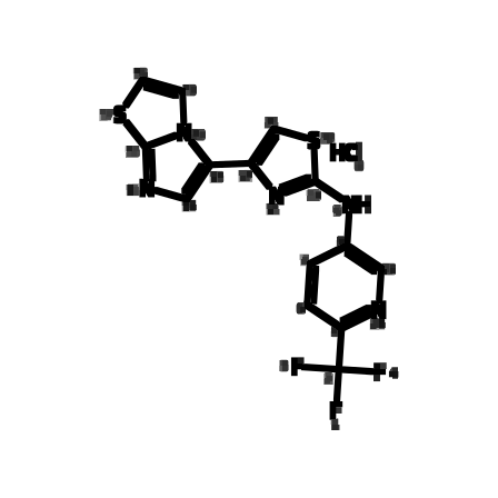 Cl.FC(F)(F)c1ccc(Nc2nc(-c3cnc4sccn34)cs2)cn1